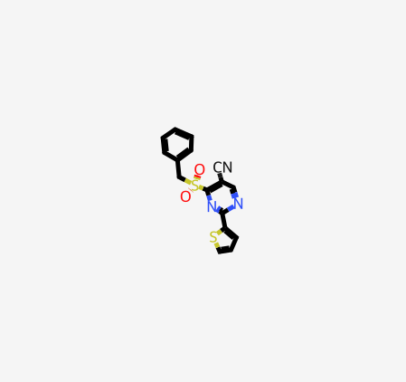 N#Cc1cnc(-c2cccs2)nc1S(=O)(=O)Cc1ccccc1